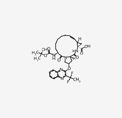 CC(C)(C)OC(=O)N[C@H]1CCCCCC=C[C@@H]2C[C@@]2(C(=O)O)NC(=O)[C@@H]2C[C@@H](Oc3nc4ccccc4nc3C(C)(F)F)CN2C1=O